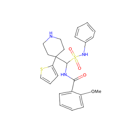 COc1ccccc1C(=O)NC(C1(c2cccs2)CCNCC1)S(=O)(=O)Nc1ccccc1